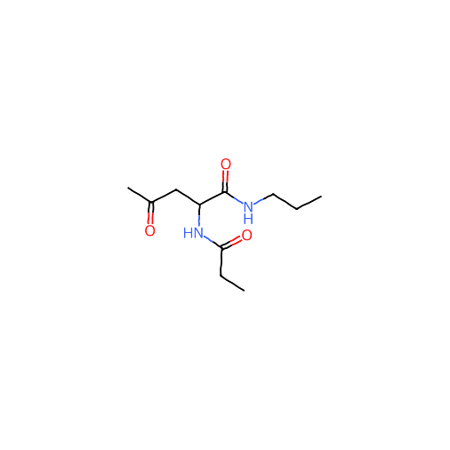 CCCNC(=O)C(CC(C)=O)NC(=O)CC